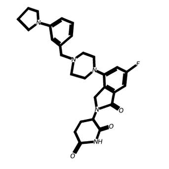 O=C1CCC(N2Cc3c(cc(F)cc3N3CCN(Cc4cccc(N5CCCC5)c4)CC3)C2=O)C(=O)N1